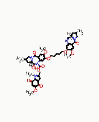 C=C1C[C@H]2C=Nc3cc(OCCCCCOc4cc5c(cc4OC)C(=O)N4CC(=C)C[C@H]4C(O)N5C(=O)OCc4cc5c(n4C)C(=O)C=C(OC)C5=O)c(OC)cc3C(=O)N2C1